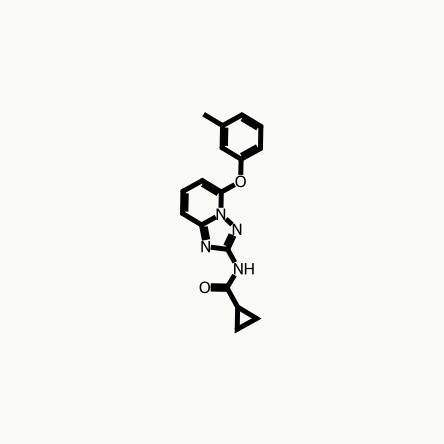 Cc1cccc(Oc2cccc3nc(NC(=O)C4CC4)nn23)c1